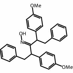 COc1ccc(C(Cc2ccccc2)C(=NO)C(Cc2ccccc2)c2ccc(OC)cc2)cc1